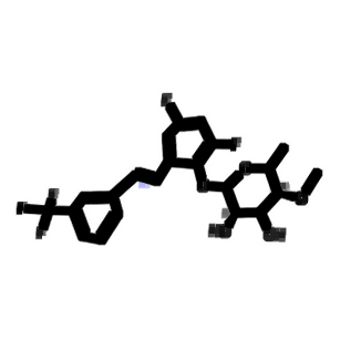 CO[C@@H]1C(C)OC(Oc2c(F)cc(F)cc2/C=C/c2cccc(C(F)(F)F)c2)[C@H](O)C1O